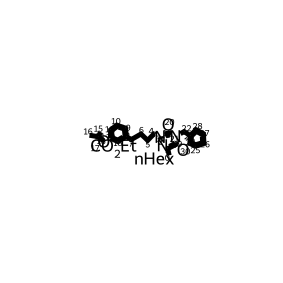 CCCCCCc1nn(CCCCc2cccc(OC(C)(C)C(=O)OCC)c2)c(=O)n(Cc2ccccc2)c1=O